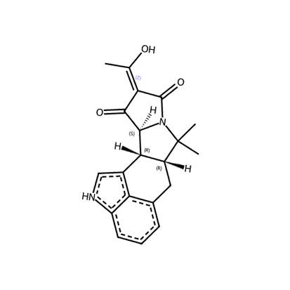 C/C(O)=C1\C(=O)[C@@H]2[C@H]3c4c[nH]c5cccc(c45)C[C@H]3C(C)(C)N2C1=O